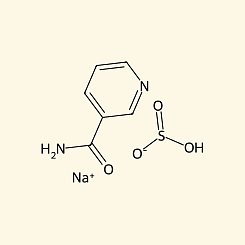 NC(=O)c1cccnc1.O=S([O-])O.[Na+]